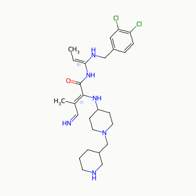 C/C=C(\NCc1ccc(Cl)c(Cl)c1)NC(=O)/C(NC1CCN(CC2CCCNC2)CC1)=C(\C)C=N